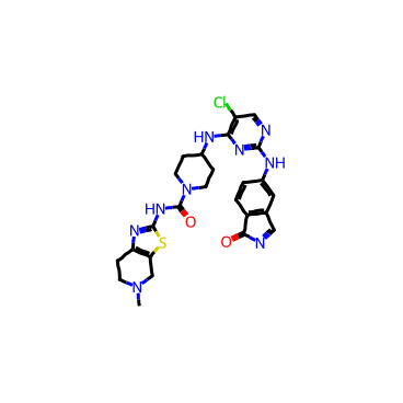 CN1CCc2nc(NC(=O)N3CCC(Nc4nc(Nc5ccc6c(c5)C=NC6=O)ncc4Cl)CC3)sc2C1